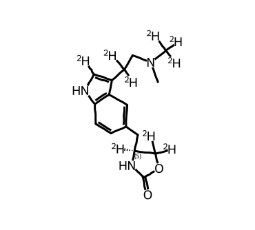 [2H]c1[nH]c2ccc(C[C@]3([2H])NC(=O)OC3([2H])[2H])cc2c1C([2H])([2H])CN(C)C([2H])([2H])[2H]